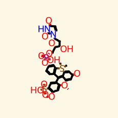 COc1cc(OC)c(S(=O)(=O)O)cc1C1=C2C=CC(=O)C=C2S(C)(C)c2cc(OP(=O)(O)OCC3OC(n4ccc(=O)[nH]c4=O)CC3O)ccc21